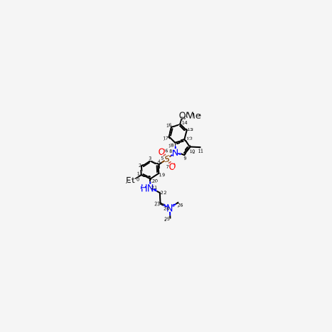 CCc1ccc(S(=O)(=O)n2cc(C)c3cc(OC)ccc32)cc1NCCN(C)C